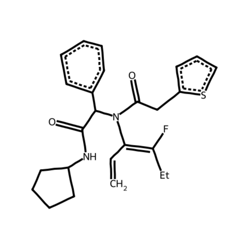 C=C/C(=C(/F)CC)N(C(=O)Cc1cccs1)C(C(=O)NC1CCCC1)c1ccccc1